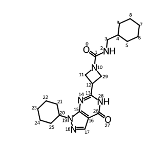 O=C(NCC1CCCCC1)N1CC(c2nc3c(cnn3C3CCCCC3)c(=O)[nH]2)C1